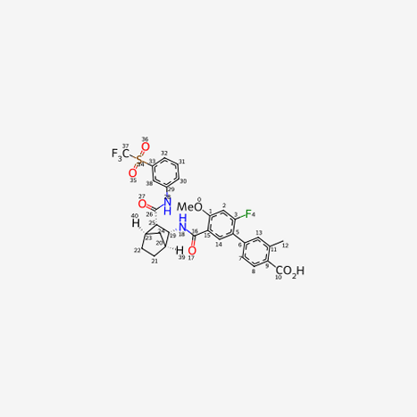 COc1cc(F)c(-c2ccc(C(=O)O)c(C)c2)cc1C(=O)N[C@@H]1[C@H]2CC[C@H](C2)[C@@H]1C(=O)Nc1cccc(S(=O)(=O)C(F)(F)F)c1